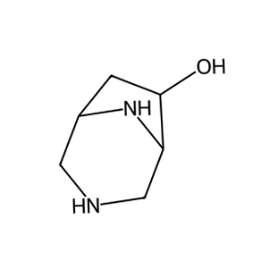 OC1CC2CNCC1N2